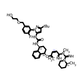 C=C(/C=C\C(=N)N(C)C(=N)N1CCCC[C@@H]1C)O[C@@H]1CC[C@H](NC(=O)Nc2cc(C(C)(C)C)nn2-c2cc(COCCO)ccc2F)c2ccccc21